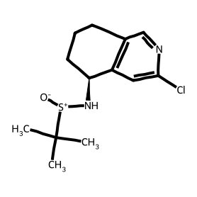 CC(C)(C)[S+]([O-])N[C@H]1CCCc2cnc(Cl)cc21